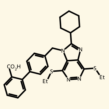 CCSc1nnc(SCC)c2c1nc(C1CCCCC1)n2Cc1ccc(-c2ccccc2C(=O)O)cc1